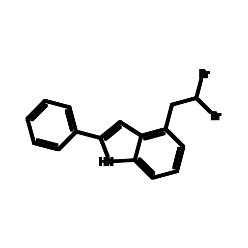 BrC(Br)Cc1cccc2[nH]c(-c3ccccc3)cc12